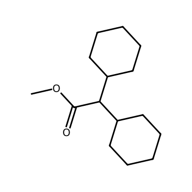 COC(=O)C(C1CCCCC1)C1CCCCC1